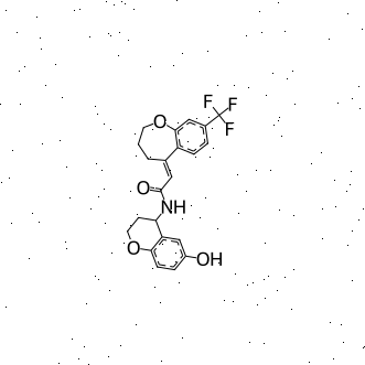 O=C(C=C1CCCOc2cc(C(F)(F)F)ccc21)NC1CCOc2ccc(O)cc21